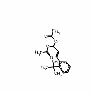 CC(=O)OC(C=Cc1ccccc1C(C)(C)C)OC(C)=O